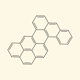 c1ccc2c(c1)cc1cccc3c4cc5cccc6ccc7ccc(c2c13)c4c7c65